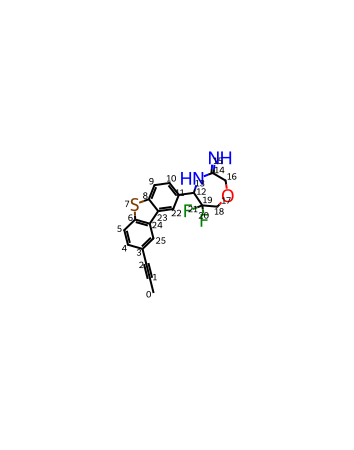 CC#Cc1ccc2sc3ccc(C4NC(=N)COCC4(F)F)cc3c2c1